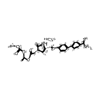 CCCCOC(=O)OC(C)OC(=O)C[C@@H]1C[C@@H](COc2ccc(-c3ccc(C(=N)N)cc3)cc2)NC1=O.Cl